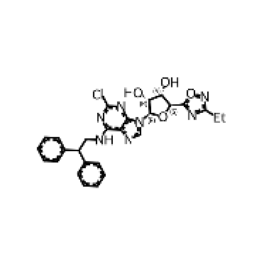 CCc1noc([C@H]2O[C@@H](n3cnc4c(NCC(c5ccccc5)c5ccccc5)nc(Cl)nc43)[C@H](O)[C@@H]2O)n1